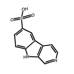 O=S(=O)(O)c1ccc2[nH]c3cnccc3c2c1